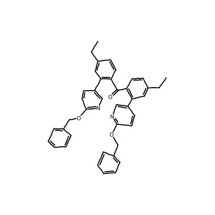 CCc1ccc(C(=O)c2ccc(CC)cc2-c2ccc(OCc3ccccc3)nc2)c(-c2ccc(OCc3ccccc3)nc2)c1